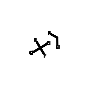 FC(F)(Cl)Cl.FCCl